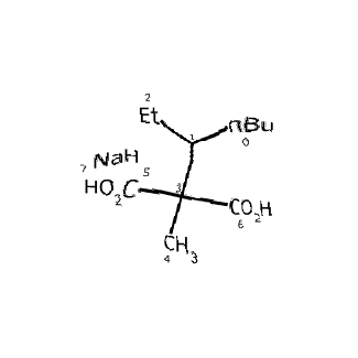 CCCCC(CC)C(C)(C(=O)O)C(=O)O.[NaH]